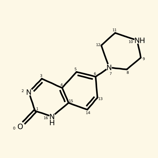 O=c1ncc2cc(N3CCNCC3)ccc2[nH]1